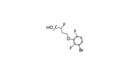 O=C(O)C(F)CCOc1c(F)ccc(Br)c1F